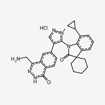 Cl.Cn1ncc(-c2ccc3c(=O)[nH]nc(CN)c3c2)c1N1C(=O)C2(CCCCC2)c2cccc(C3CC3)c21